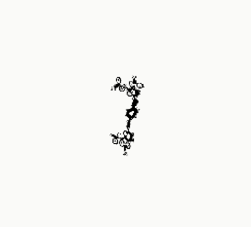 CC(=O)OC[C@H]1O[C@H](C#Cc2ccc(C#C[C@@H]3C=C[C@H](OC(C)=O)[C@@H](COC(C)=O)O3)cc2)C=C[C@@H]1OC(C)=O